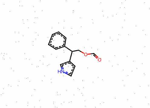 O=COCC(c1ccccc1)c1cc[nH]c1